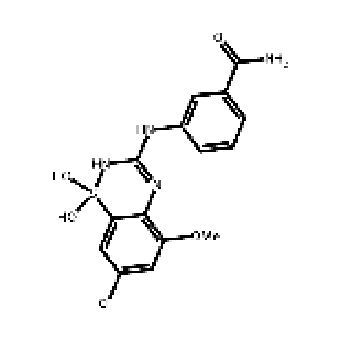 COc1cc(Cl)cc2c1N=C(Nc1cccc(C(N)=O)c1)NS2(O)O